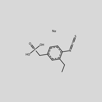 CCc1cc(CP(=O)(O)O)ccc1N=C=S.[Na]